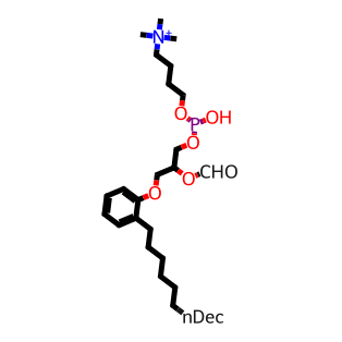 CCCCCCCCCCCCCCCCc1ccccc1OCC(COP(O)OCCCC[N+](C)(C)C)OC=O